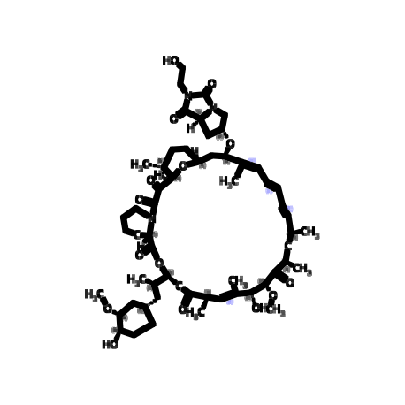 CO[C@@H]1C[C@H](C[C@@H](C)[C@@H]2CC(=O)[C@H](C)/C=C(\C)[C@@H](O)[C@@H](OC)C(=O)[C@H](C)C[C@H](C)/C=C/C=C/C=C(\C)[C@H](O[C@@H]3C[C@H]4C(=O)N(CCO)C(=O)N4C3)C[C@@H]3CC[C@@H](C)[C@@](O)(O3)C(=O)C(=O)N3CCCC[C@H]3C(=O)O2)CC[C@H]1O